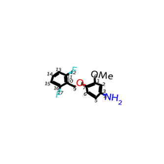 COc1cc(N)ccc1OCc1c(F)cccc1F